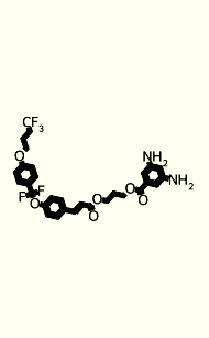 Nc1cc(N)cc(C(=O)OCCCOC(=O)/C=C/c2ccc(OC(F)(F)c3ccc(OCCCC(F)(F)F)cc3)cc2)c1